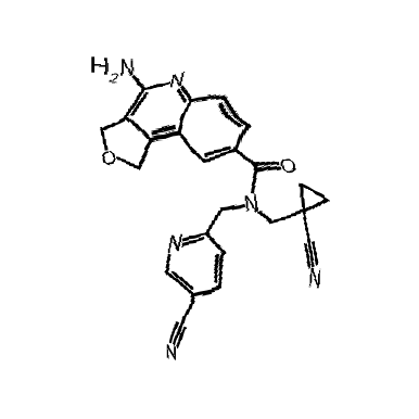 N#Cc1ccc(CN(CC2(C#N)CC2)C(=O)c2ccc3nc(N)c4c(c3c2)COC4)nc1